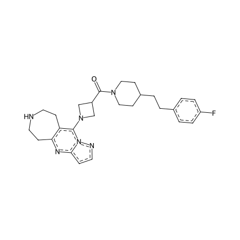 O=C(C1CN(c2c3c(nc4ccnn24)CCNCC3)C1)N1CCC(CCc2ccc(F)cc2)CC1